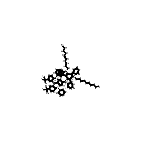 CCCC/C=C/CCCCn1c2ccccc2c2c1c1c3ccccc3n(-c3cc4c5c(c3)N(c3ccccc3)c3ccc(C(C)(C)C)cc3B5c3cc(C(C)(C)C)ccc3N4c3ccccc3)c1c1c3ccccc3n(CCCC/C=C/CCCC)c21